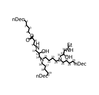 CCCCCCCCCCCCCCOC(=O)CCNCC(O)CN(CCCCCCCCCCCCCC)CCCCN(CCCCCCCCCCCCCC)CC(O)CNCC